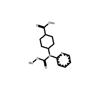 COC(=O)C1CCC(N(C(=O)OC(C)(C)C)c2ccccn2)CC1